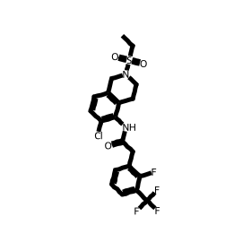 CCS(=O)(=O)N1CCc2c(ccc(Cl)c2NC(=O)Cc2cccc(C(F)(F)F)c2F)C1